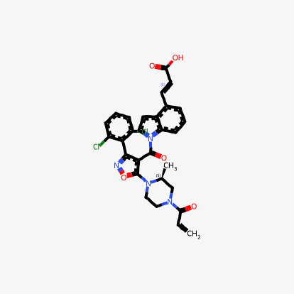 C=CC(=O)N1CCN(c2onc(-c3c(Cl)cccc3Cl)c2C(=O)n2ccc3c(/C=C/C(=O)O)cccc32)[C@@H](C)C1